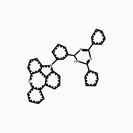 c1ccc(C2=NC(c3cccc(-n4c5cccc6oc7ccccc7c7cccc4c7c65)c3)NC(c3ccccc3)=N2)cc1